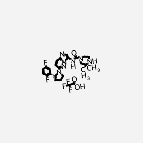 CC1(C)CN(C(=O)Nc2cnc3ccc(N4CCC[C@@H]4c4cc(F)ccc4F)nn23)CCN1.O=C(O)C(F)(F)F